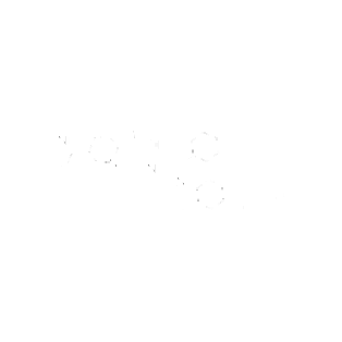 CNC(=O)c1ccc([C@](C)(O)CN2CCN(c3ccc(OCCO)cc3Cl)[C@H](c3ccc(Cl)cc3)C2)nc1